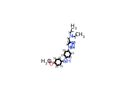 CCN(CC)Cc1cn(-c2ccc(Nc3ccc(OC)cc3)cc2)nn1